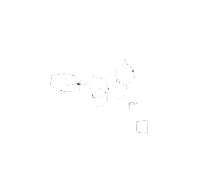 O=C(OC1CCC1)N1CC2(CCN(C3CC4CCC(C3)N4C(=O)O[C@@H]3CCOC3)CC2)c2cc(F)ccc21